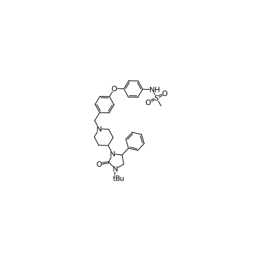 CC(C)(C)N1CC(c2ccccc2)N(C2CCN(Cc3ccc(Oc4ccc(NS(C)(=O)=O)cc4)cc3)CC2)C1=O